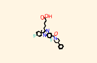 CC1(c2nc3cc(F)c(C(=O)N4CCC(c5ccccc5)CC4)cc3nc2CCCCC(=O)O)C=CC(F)=CC1